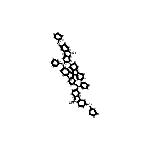 CCn1c2ccc(Sc3ccccc3)cc2c2cc(N(c3ccccc3)c3ccc4c(c3)C3(c5ccccc5-c5ccccc53)c3cc(N(c5ccccc5)c5ccc6c(c5)c5cc(Sc7ccccc7)ccc5n6CC)ccc3-4)ccc21